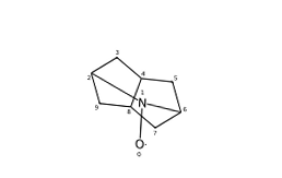 [O]N1C2CC3CC1CC3C2